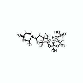 C[C@@]1(O)C[C@H](n2ccc(=O)[nH]c2=O)O[C@]1(F)COP(=O)(O)OP(=O)(O)OP(=O)(O)O